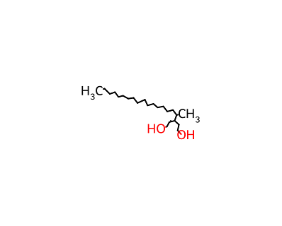 CCCCCCCCCCCCCCCCC(C)[C](CCO)CCO